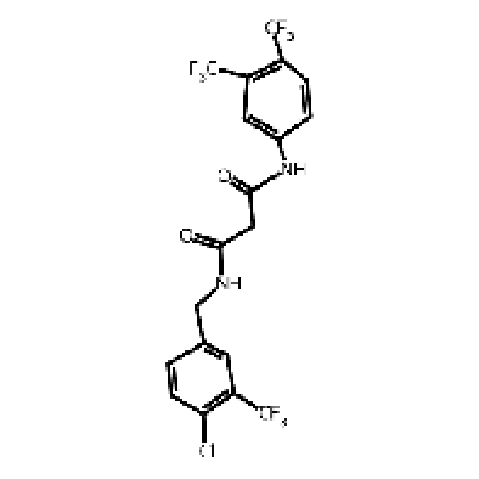 O=C(CC(=O)Nc1ccc(C(F)(F)F)c(C(F)(F)F)c1)NCc1ccc(Cl)c(C(F)(F)F)c1